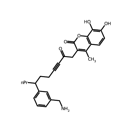 CCCC(CCC#CC(=O)Cc1c(C)c2ccc(O)c(O)c2oc1=O)c1cccc(CN)c1